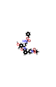 COc1ccc([C@@H](CCCNC(=O)OCc2ccccc2)N2Cc3c(cccc3C3=CCN(C(=O)OC(C)(C)C)CC3)C2=O)cc1C